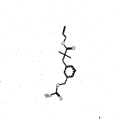 C=CCOC(=O)C(C)(C)Cc1cccc(COC(=O)C(C)(C)C)c1